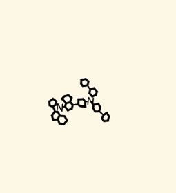 c1ccc(-c2ccc(N(c3ccc(-c4ccc(-n5c6ccccc6c6ccc7ccccc7c65)c5ccccc45)cc3)c3cccc(-c4ccccc4)c3)cc2)cc1